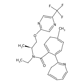 CCN(C(=O)C1=CCC(C)=CC=C1C1=NC=CC=CC1)[C@@H](C)COc1cnc(C(F)(F)F)cn1